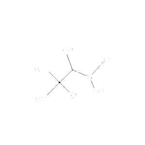 CCN(O)C(O)C(C)(O)CC